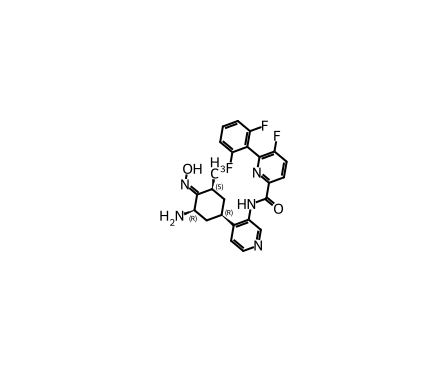 C[C@H]1C[C@@H](c2ccncc2NC(=O)c2ccc(F)c(-c3c(F)cccc3F)n2)C[C@@H](N)C1=NO